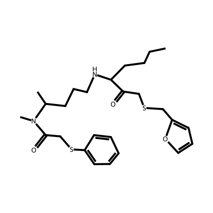 CCCCC(NCCCC(C)N(C)C(=O)CSc1ccccc1)C(=O)CSCc1ccco1